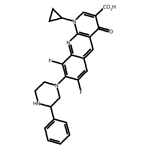 O=C(O)c1cn(C2CC2)c2nc3c(F)c(N4CCNC(c5ccccc5)C4)c(F)cc3cc2c1=O